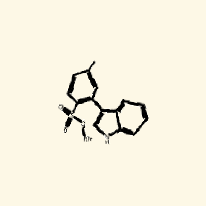 CCCOS(=O)(=O)c1ccc(C)cc1-c1c[nH]c2ccccc12